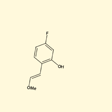 COC=Cc1ccc(F)cc1O